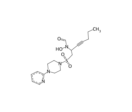 CCCC#CC(CS(=O)(=O)N1CCN(c2ccccn2)CC1)N(O)C=O